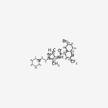 Cc1nn(CCN2CCCCC2)c(C)c1NC(=O)c1cc(C(F)(F)F)nc2ccc(Br)cc12